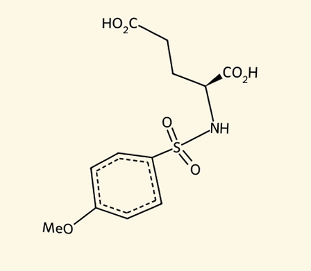 COc1ccc(S(=O)(=O)N[C@@H](CCC(=O)O)C(=O)O)cc1